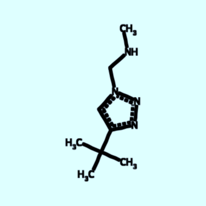 CNCn1cc(C(C)(C)C)nn1